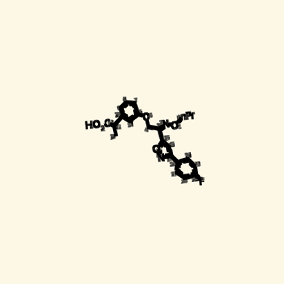 CCCON=C(COc1cccc(C(C)C(=O)O)c1)c1cc(-c2ccc(F)cc2)no1